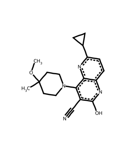 COC1(C)CCN(c2c(C#N)c(O)nc3ccc(C4CC4)nc23)CC1